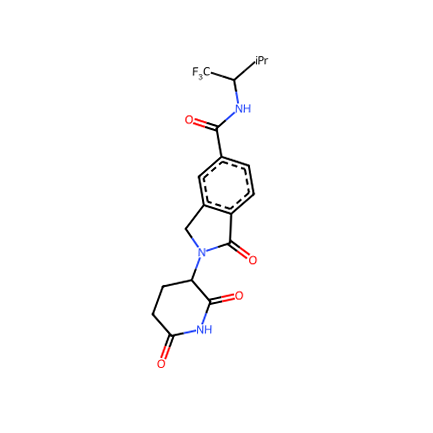 CC(C)C(NC(=O)c1ccc2c(c1)CN(C1CCC(=O)NC1=O)C2=O)C(F)(F)F